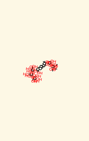 CC(=O)OC1COC(OC2C(O)COC(OC3C(O)C(C)(C)CC4C5=CCC6C7(C)CCC(OC8OC(C(=O)O)C(O)C(O)C8OC8OC(CO)C(O)C(O)C8OC8OC(CO)C(O)C(O)C8O)C(C)(CO)C7CCC6(C)C5(C)CCC43C)C2O)C(OC(C)=O)C1OC(C)=O